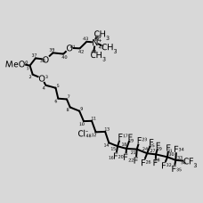 COC(COCCCCCCCCCCCC(F)(F)C(F)(F)C(F)(F)C(F)(F)C(F)(F)C(F)(F)C(F)(F)C(F)(F)F)COCCOCC[N+](C)(C)C.[Cl-]